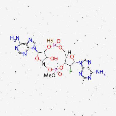 COP1(=O)OC[C@H]2O[C@@H](n3cnc4c(N)ncnc43)C(OP(=O)(S)OC[C@H]3OC(n4cnc5c(N)ncnc54)C(F)C3O1)C2O